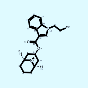 CN1[C@@H]2CCC[C@H]1C[C@@H](OC(=O)c1cn(CCF)c3ccccc13)C2